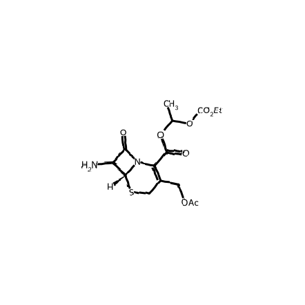 CCOC(=O)OC(C)OC(=O)C1=C(COC(C)=O)CS[C@@H]2C(N)C(=O)N12